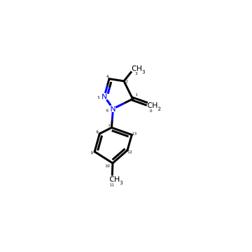 C=C1C(C)C=NN1c1ccc(C)cc1